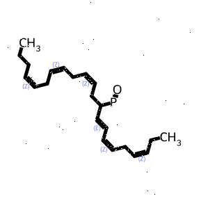 CC/C=C\C/C=C\C=C\C(C/C=C\C/C=C\C/C=C\CCC)P=O